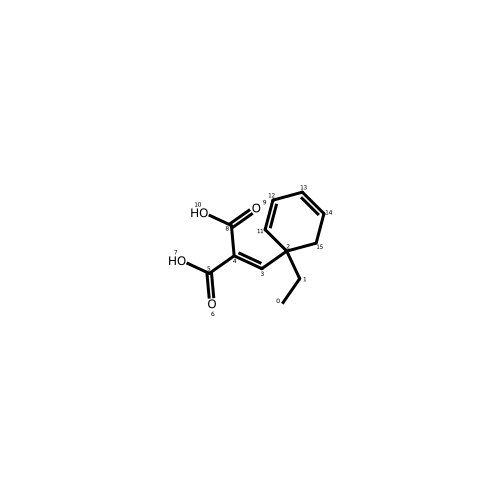 CCC1(C=C(C(=O)O)C(=O)O)C=CC=CC1